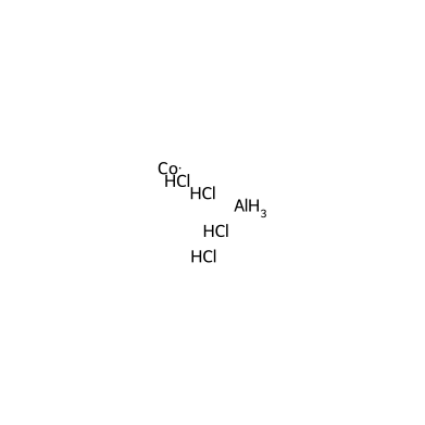 Cl.Cl.Cl.Cl.[AlH3].[Co]